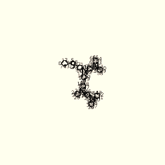 c1ccc(-c2ccc(-c3ccc(N(c4ccc(-c5ccc(N(c6ccccc6)c6ccc(N(c7ccccc7)c7ccccc7)cc6)cc5)cc4)c4ccc(N(c5ccccc5)c5ccccc5)cc4)cc3)s2)cc1